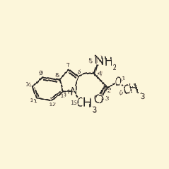 COC(=O)C(N)c1cc2ccccc2n1C